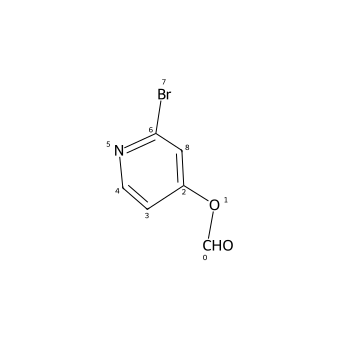 O=COc1ccnc(Br)c1